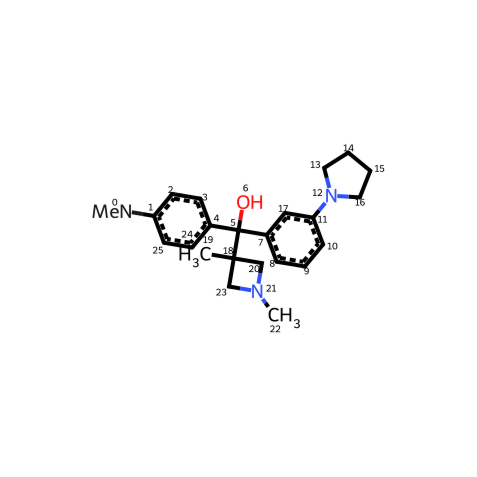 CNc1ccc(C(O)(c2cccc(N3CCCC3)c2)C2(C)CN(C)C2)cc1